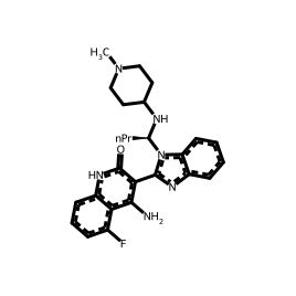 CCC[C@@H](NC1CCN(C)CC1)n1c(-c2c(N)c3c(F)cccc3[nH]c2=O)nc2ccccc21